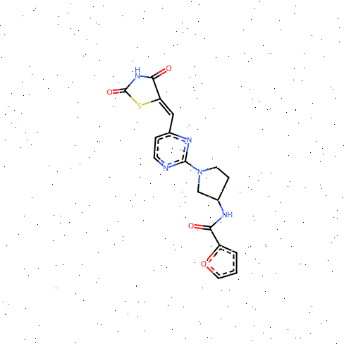 O=C1NC(=O)/C(=C/c2ccnc(N3CCC(NC(=O)c4ccco4)C3)n2)S1